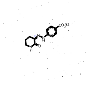 CCOC(=O)c1ccc(N/N=C2/CCCNC2=O)cc1